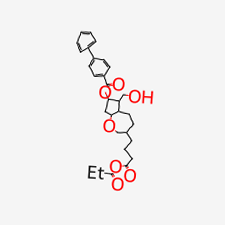 CCC(=O)OC(=O)CCCC1CCC2C(CC(OC(=O)c3ccc(-c4ccccc4)cc3)C2CO)OC1